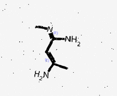 C/N=C(N)\C=C(/C)N